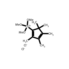 C[O][Ti+2]([O]C)([O]C)[C]1=C(C)C(C)=C(C)C1(C)C.[Cl-].[Cl-]